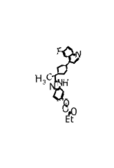 CCC(=O)OOc1ccc2nc(C(C)C3CCC(c4ccnc5ccc(F)cc45)CC3)[nH]c2c1